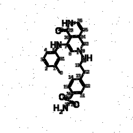 Cc1cccc(NC2=CN(NCCc3ccc(S(N)(=O)=O)cc3)Cc3cc[nH]c(=O)c32)c1